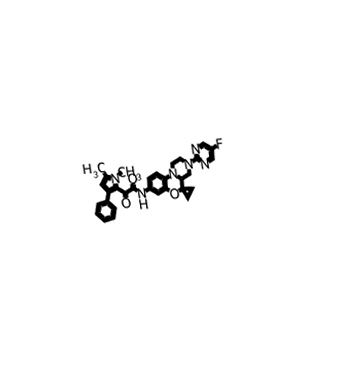 Cc1cc(-c2ccccc2)c(C(=O)C(=O)Nc2ccc3c(c2)OC2(CC2)C2CN(c4ncc(F)cn4)CCN32)n1C